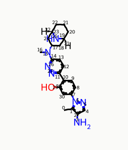 Cc1c(N)cnn1-c1ccc(-c2ccc(N(C)[C@@H]3C[C@H]4CCC[C@@H](C3)N4)nn2)c(O)c1